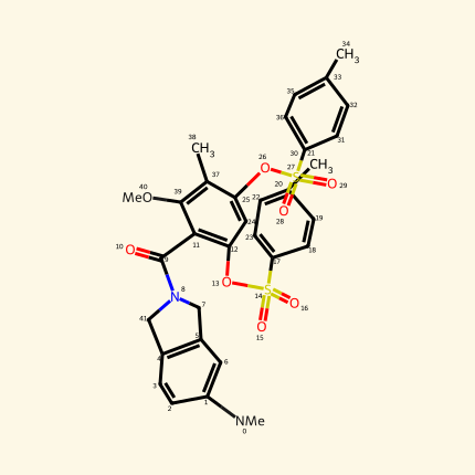 CNc1ccc2c(c1)CN(C(=O)c1c(OS(=O)(=O)c3ccc(C)cc3)cc(OS(=O)(=O)c3ccc(C)cc3)c(C)c1OC)C2